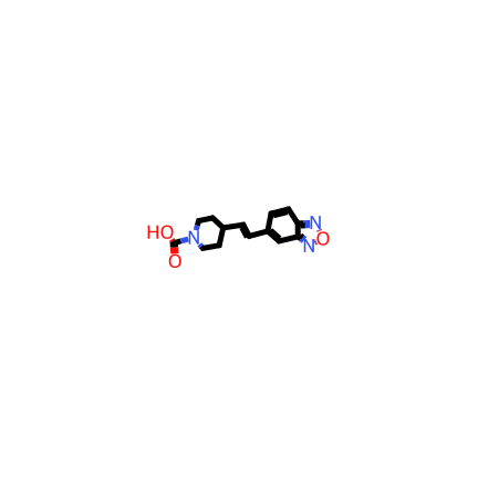 O=C(O)N1CCC(C=Cc2ccc3nonc3c2)CC1